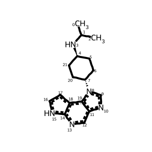 CC(C)N[C@H]1CC[C@H](n2cnc3cnc4[nH]ccc4c32)CC1